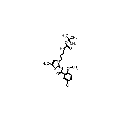 COc1ccc(Cl)cc1C(=O)/N=c1\sc(C)cn1CCCNC(=O)OC(C)(C)C